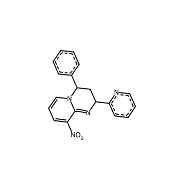 O=[N+]([O-])C1=CC=CN2C1=NC(c1ccccn1)CC2c1ccccc1